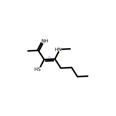 CCCC/C(NC)=C(\S)C(C)=N